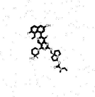 CCc1c(F)ccc2cc(O)cc(-c3ncc4c(N5CCC[C@@](C)(O)C5)nc(OC[C@@]56CCCN5[C@H](OC(=O)N(C)CC)CC6)nc4c3F)c12